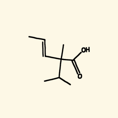 C/C=C/C(C)(C(=O)O)C(C)C